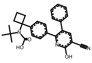 CC(C)(C)N(C(=O)O)C1(c2ccc(-c3nc(O)c(C#N)cc3-c3ccccc3)cc2)CCC1